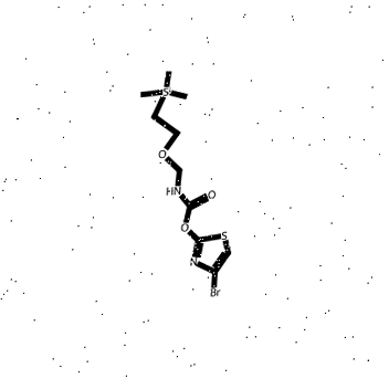 C[Si](C)(C)CCOCNC(=O)Oc1nc(Br)cs1